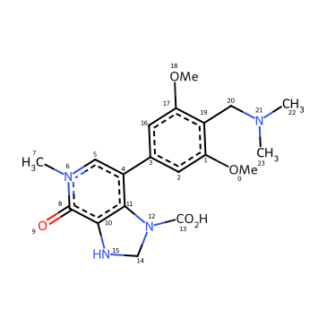 COc1cc(-c2cn(C)c(=O)c3c2N(C(=O)O)CN3)cc(OC)c1CN(C)C